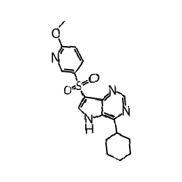 COc1ccc(S(=O)(=O)c2c[nH]c3c(C4CCCCC4)ncnc23)cn1